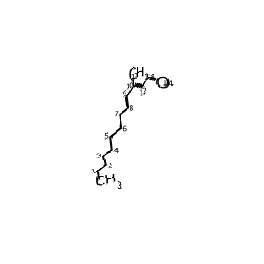 CCCCCCCCC=CC(C)=CC=O